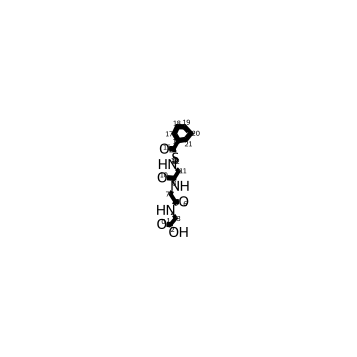 O=C(O)CNC(=O)CNC(=O)CNSC(=O)c1ccccc1